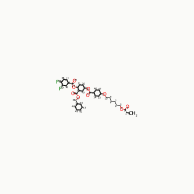 C=CC(=O)OCCCCCCOc1ccc(C(=O)Oc2ccc(OC(=O)c3ccc(F)c(F)c3)c(C(=O)OCc3ccccc3)c2)cc1